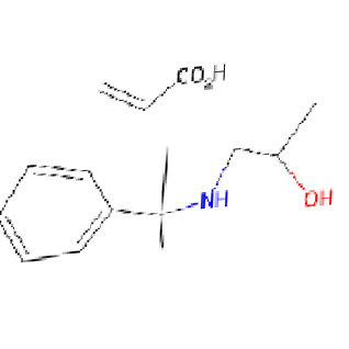 C=CC(=O)O.CC(O)CNC(C)(C)c1ccccc1